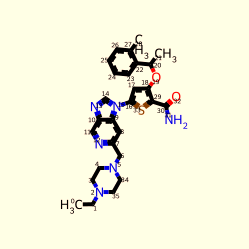 CCN1CCN(Cc2cc3c(cn2)ncn3-c2cc(OC(C)c3ccccc3C)c(C(N)=O)s2)CC1